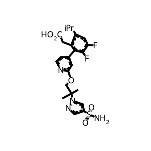 CC(C)c1cc(F)c(F)c(-c2ccnc(OCC(C)(C)n3cc(S(N)(=O)=O)cn3)c2)c1CC(=O)O